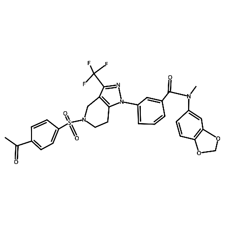 CC(=O)c1ccc(S(=O)(=O)N2CCc3c(c(C(F)(F)F)nn3-c3cccc(C(=O)N(C)c4ccc5c(c4)OCO5)c3)C2)cc1